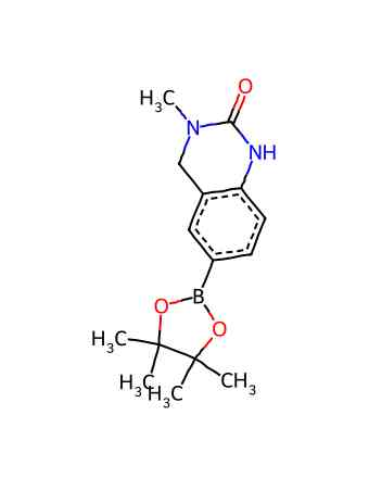 CN1Cc2cc(B3OC(C)(C)C(C)(C)O3)ccc2NC1=O